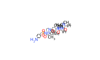 CCC(C)C([C@@H](CC(=O)N1CCC[C@H]1[C@H](OC)[C@@H](C)C(=O)NS(=O)(=O)Cc1ccc(N)cc1)OC)N(C)C(=O)[C@@H](NC(=O)C(C(C)C)N(C)C)C(C)C